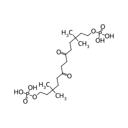 CC(C)(CCOP(=O)(O)O)CCC(=O)CCC(=O)CCC(C)(C)CCOP(=O)(O)O